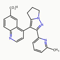 Cc1cccc(-c2nn3c(c2-c2ccnc4ccc(C(=O)O)cc24)CCC3)n1